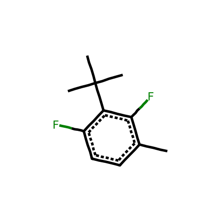 Cc1ccc(F)c(C(C)(C)C)c1F